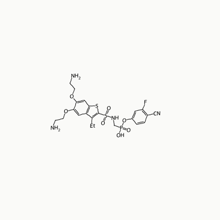 CCc1c(S(=O)(=O)NCP(=O)(O)Oc2ccc(C#N)c(F)c2)sc2cc(OCCN)c(OCCN)cc12